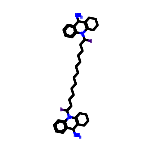 NC1C2=C(CCCC2)N(C(I)CCCCCCCCCCCCC(I)N2C3=C(CCCC3)C(N)c3ccccc32)c2ccccc21